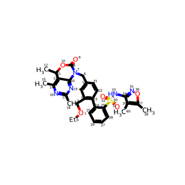 CCOCc1cc(CN2C(=O)OC(C)c3c(C)nc(C)nc32)ccc1-c1ccccc1S(=O)(=O)Nc1noc(C)c1C